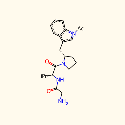 CC(=O)n1cc(C[C@@H]2CCCN2C(=O)[C@@H](NC(=O)CN)C(C)C)c2ccccc21